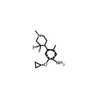 Cc1cc(N)c(OC2CC2)cc1C1CCN(C)CC1(F)F